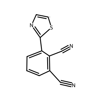 N#Cc1cccc(-c2nc[c]s2)c1C#N